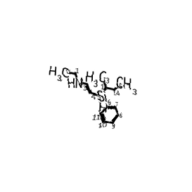 CCNC=C[SiH](c1ccccc1)C(C)CC